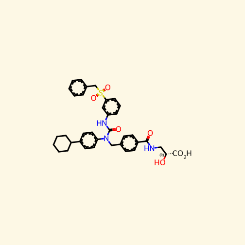 O=C(NC[C@@H](O)C(=O)O)c1ccc(CN(C(=O)Nc2cccc(S(=O)(=O)Cc3ccccc3)c2)c2ccc(C3CCCCC3)cc2)cc1